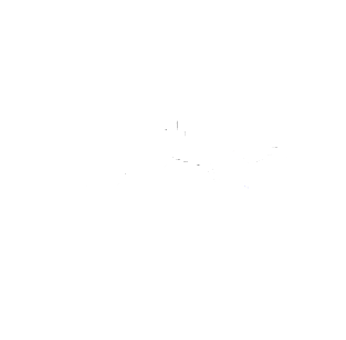 CCCCCC(C)c1cnc(C)s1